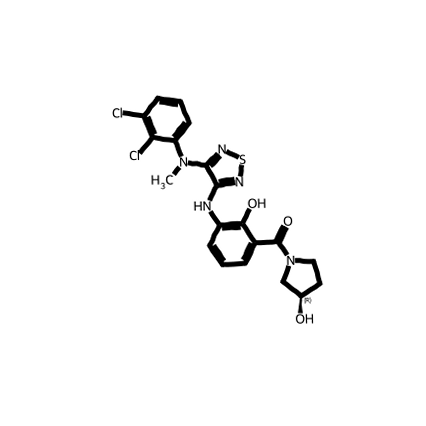 CN(c1cccc(Cl)c1Cl)c1nsnc1Nc1cccc(C(=O)N2CC[C@@H](O)C2)c1O